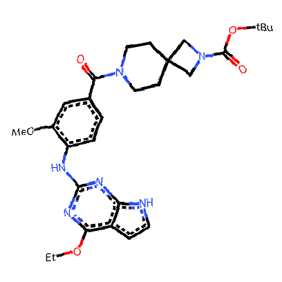 CCOc1nc(Nc2ccc(C(=O)N3CCC4(CC3)CN(C(=O)OC(C)(C)C)C4)cc2OC)nc2[nH]ccc12